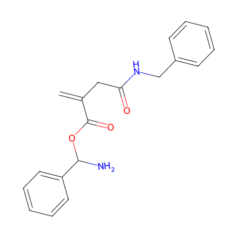 C=C(CC(=O)NCc1ccccc1)C(=O)OC(N)c1ccccc1